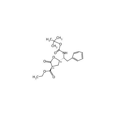 CCOC(=O)[C@@H]1C[C@@H](C(Cc2ccccc2)NC(=O)OC(C)(C)C)OC1=O